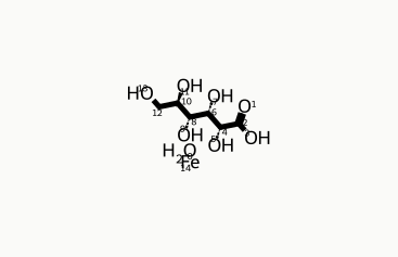 O.O=C(O)[C@H](O)[C@@H](O)[C@H](O)[C@H](O)CO.[Fe]